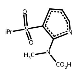 CC(C)S(=O)(=O)c1cccnc1N(C)C(=O)O